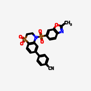 Cc1nc2ccc(S(=O)(=O)N3CCS(=O)(=O)c4ccc(-c5ccc(C#N)cc5)cc43)cc2o1